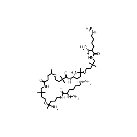 CC(CCC(=O)NCC(C)(C)CCOC(C)(N)CCCNC(=O)C(CCCCNP)NP)OCCC(C)(C)C(=O)NCCCC(C)(N)OCCC(C)(C)CNC(=O)C(CCCCNP)NP